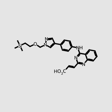 C[Si](C)(C)CCOCn1cc(-c2ccc(Nc3nc(C=CC(=O)O)nc4ccccc34)cc2)cn1